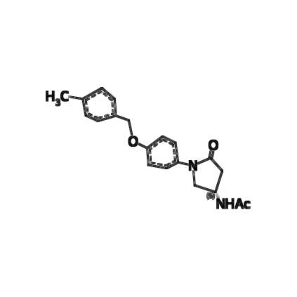 CC(=O)N[C@H]1CC(=O)N(c2ccc(OCc3ccc(C)cc3)cc2)C1